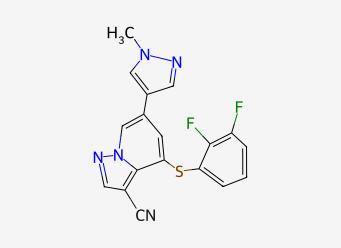 Cn1cc(-c2cc(Sc3cccc(F)c3F)c3c(C#N)cnn3c2)cn1